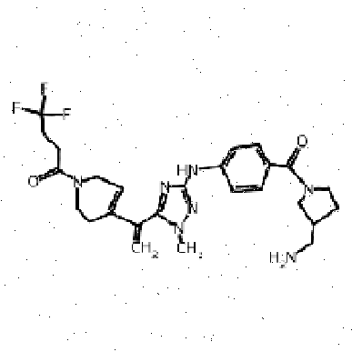 C=C(C1=CCN(C(=O)CCC(F)(F)F)CC1)c1nc(Nc2ccc(C(=O)N3CCC(CN)C3)cc2)nn1C